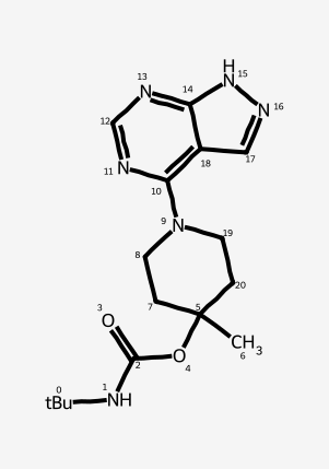 CC(C)(C)NC(=O)OC1(C)CCN(c2ncnc3[nH]ncc23)CC1